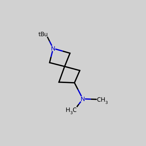 CN(C)C1CC2(C1)CN(C(C)(C)C)C2